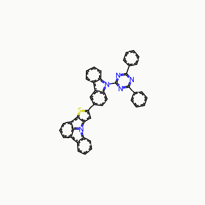 c1ccc(-c2nc(-c3ccccc3)nc(-n3c4ccccc4c4cc(-c5cc6c(s5)c5cccc7c8ccccc8n6c75)ccc43)n2)cc1